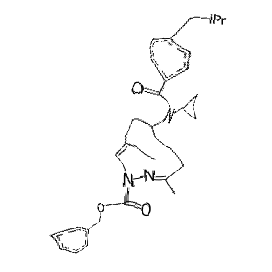 C/C1=C\N(C(=O)OCc2ccccc2)/N=C(\C)CCC(N(C(=O)c2ccc(CC(C)C)cc2)C2CC2)C1